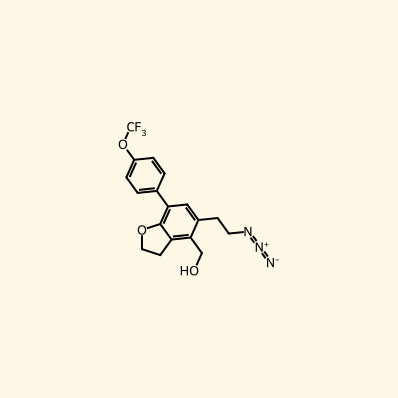 [N-]=[N+]=NCCc1cc(-c2ccc(OC(F)(F)F)cc2)c2c(c1CO)CCO2